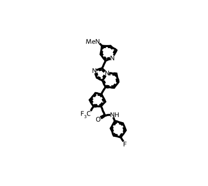 CNc1ccnc(-c2ncc3c(-c4ccc(C(F)(F)F)c(C(=O)Nc5ccc(F)cc5)c4)cccn23)c1